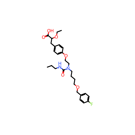 CCCNC(=O)N(CCCCOCc1ccc(F)cc1)CCOc1ccc(CC(OCC)C(=O)O)cc1